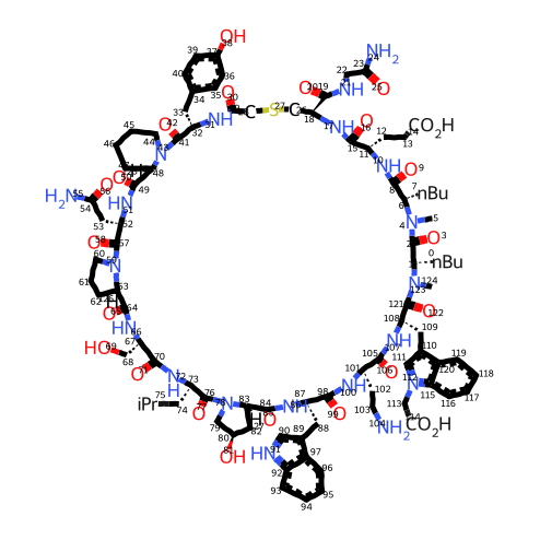 CCCC[C@H]1C(=O)N(C)[C@@H](CCCC)C(=O)N[C@@H](CCC(=O)O)C(=O)N[C@H](C(=O)NCC(N)=O)CSCC(=O)N[C@@H](Cc2ccc(O)cc2)C(=O)N2CCCC[C@H]2C(=O)N[C@@H](CC(N)=O)C(=O)N2CCC[C@H]2C(=O)N[C@@H](CO)C(=O)N[C@@H](CC(C)C)C(=O)N2C[C@H](O)C[C@H]2C(=O)N[C@@H](Cc2c[nH]c3ccccc23)C(=O)N[C@@H](CCN)C(=O)N[C@@H](Cc2cn(CC(=O)O)c3ccccc23)C(=O)N1C